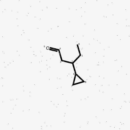 CCC(CC=O)C1CC1